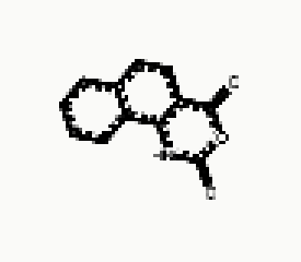 O=c1[nH]c2c(ccc3ccccc32)c(=O)o1